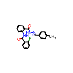 Cc1ccc(/C=N/NC(=O)c2ccccc2NC(=O)c2ccccc2F)cc1